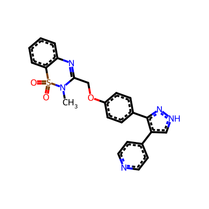 CN1C(COc2ccc(-c3n[nH]cc3-c3ccncc3)cc2)=Nc2ccccc2S1(=O)=O